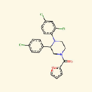 O=C(c1ccco1)N1CCN(c2ccc(Cl)cc2Cl)C(c2ccc(Cl)cc2)C1